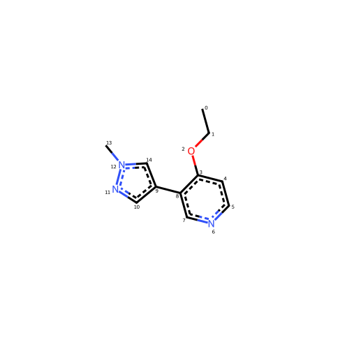 CCOc1ccncc1-c1cnn(C)c1